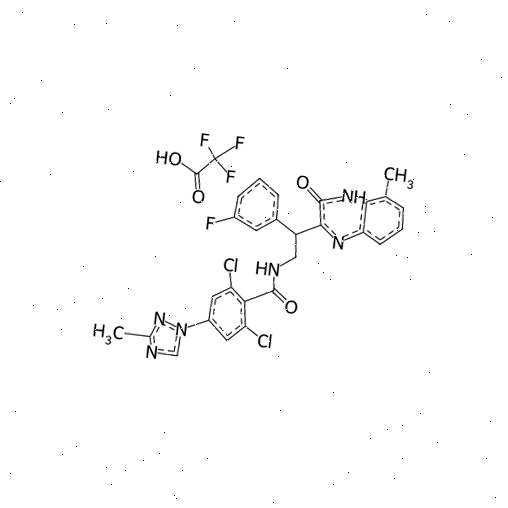 Cc1ncn(-c2cc(Cl)c(C(=O)NCC(c3cccc(F)c3)c3nc4cccc(C)c4[nH]c3=O)c(Cl)c2)n1.O=C(O)C(F)(F)F